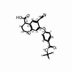 CC(C)(C)OC(=O)c1ccc(Oc2cc3c(cc2C#N)C(C(=O)O)CCO3)cc1